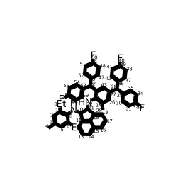 CCc1cc(C)cc(CC)c1NC1c2cccc3cccc(c23)C1Nc1c(C)cc(C(c2ccc(F)cc2)c2ccc(F)cc2)cc1C(c1ccc(F)cc1)c1ccc(F)cc1